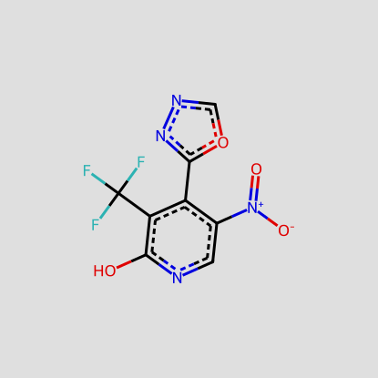 O=[N+]([O-])c1cnc(O)c(C(F)(F)F)c1-c1nnco1